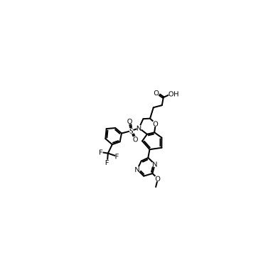 COc1cncc(-c2ccc3c(c2)N(S(=O)(=O)c2cccc(C(F)(F)F)c2)CC(CCC(=O)O)O3)n1